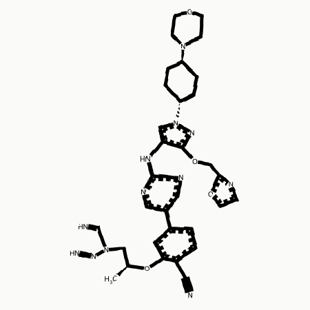 C[C@@H](CN(C=N)N=N)Oc1cc(-c2cnc(Nc3cn([C@H]4CC[C@H](N5CCOCC5)CC4)nc3OCc3ncco3)nc2)ccc1C#N